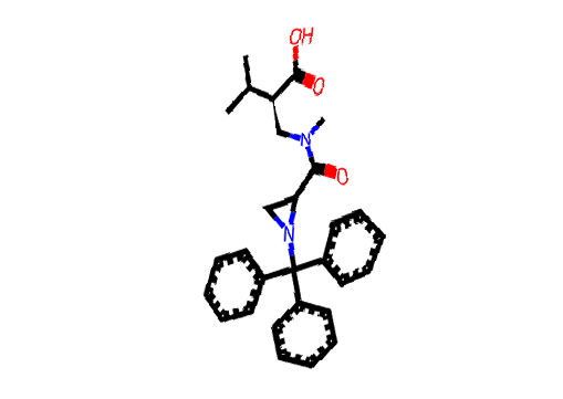 CC(C)[C@H](CN(C)C(=O)C1CN1C(c1ccccc1)(c1ccccc1)c1ccccc1)C(=O)O